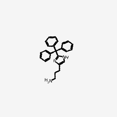 NCCCc1c[nH]c(C(c2ccccc2)(c2ccccc2)c2ccccc2)n1